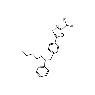 CCCCSN(Cc1ccc(-c2nnc(C(F)F)o2)cc1)c1ccccc1